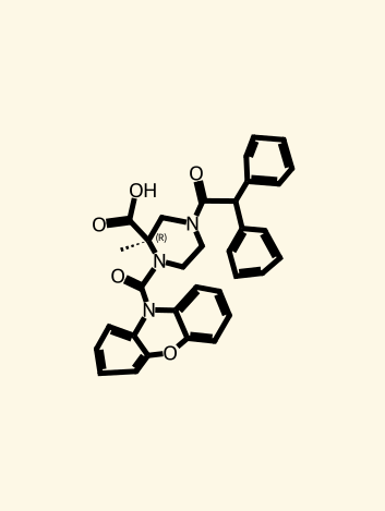 C[C@]1(C(=O)O)CN(C(=O)C(c2ccccc2)c2ccccc2)CCN1C(=O)N1c2ccccc2Oc2ccccc21